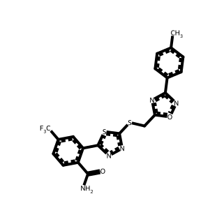 Cc1ccc(-c2noc(CSc3nnc(-c4cc(C(F)(F)F)ccc4C(N)=O)s3)n2)cc1